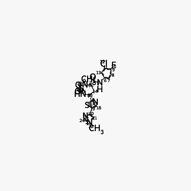 CN1[C@H](C(=O)Nc2ccc(F)c(Cl)c2)C[C@H](c2ncc(-c3cn(C)cn3)s2)NS1(=O)=O